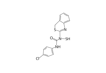 O=C(Nc1ccc(Cl)cc1)N(S)C1=Nc2ccccc2CS1